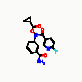 NC(=O)c1cccc(N(OC(=O)C2CC2)C(=O)c2ccc(F)nc2)c1